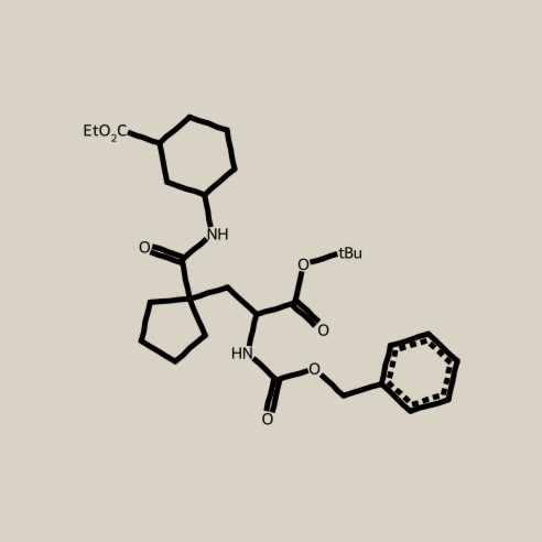 CCOC(=O)C1CCCC(NC(=O)C2(CC(NC(=O)OCc3ccccc3)C(=O)OC(C)(C)C)CCCC2)C1